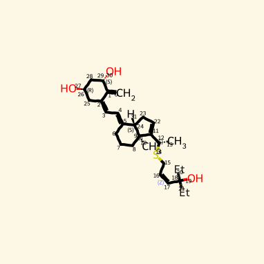 C=C1C(=CC=C2CCC[C@]3(C)C([C@H](C)SC/C=C\C(O)(CC)CC)=CC[C@@H]23)C[C@@H](O)C[C@@H]1O